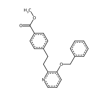 COC(=O)c1ccc(CCc2ncccc2OCc2ccccc2)cc1